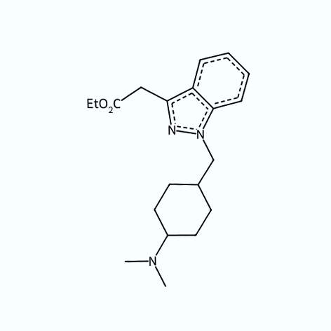 CCOC(=O)Cc1nn(CC2CCC(N(C)C)CC2)c2ccccc12